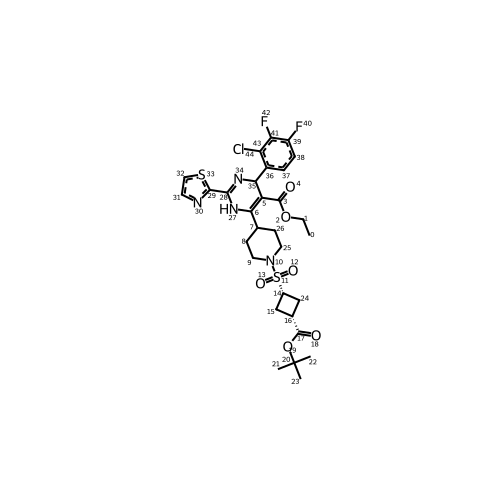 CCOC(=O)C1=C(C2CCN(S(=O)(=O)[C@H]3C[C@@H](C(=O)OC(C)(C)C)C3)CC2)NC(c2nccs2)=NC1c1ccc(F)c(F)c1Cl